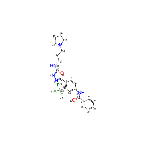 O=C(Nc1ccc(-c2nnc(NCCCN3CCCC3)o2)c(C(F)(F)F)c1)c1ccccc1